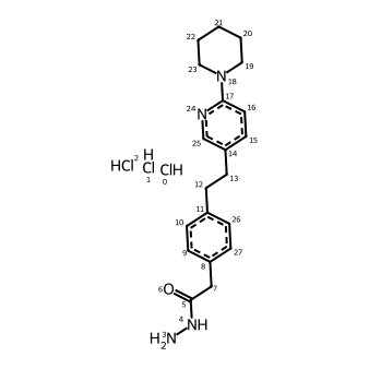 Cl.Cl.Cl.NNC(=O)Cc1ccc(CCc2ccc(N3CCCCC3)nc2)cc1